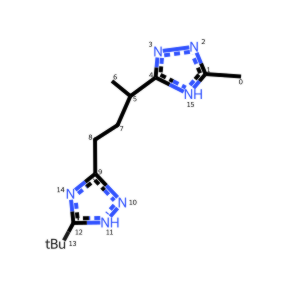 Cc1nnc(C(C)CCc2n[nH]c(C(C)(C)C)n2)[nH]1